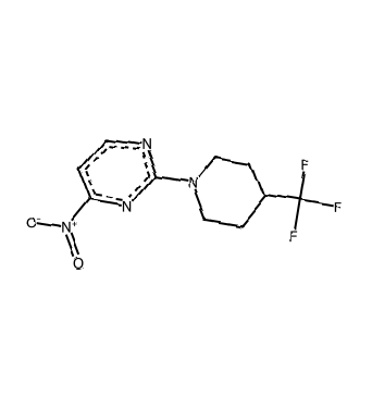 O=[N+]([O-])c1ccnc(N2CCC(C(F)(F)F)CC2)n1